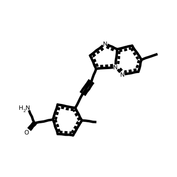 Cc1cnn2c(C#Cc3cc(C(N)=O)ccc3C)cnc2c1